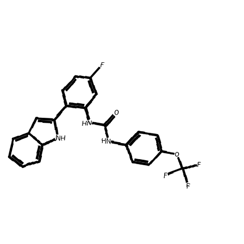 O=C(Nc1ccc(OC(F)(F)F)cc1)Nc1cc(F)ccc1-c1cc2ccccc2[nH]1